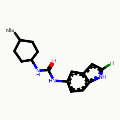 CCCCC1CCC(NC(=O)Nc2ccc3[nH]c(Cl)cc3c2)CC1